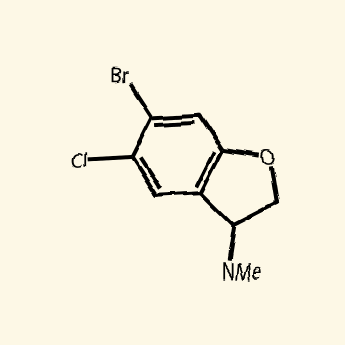 CNC1COc2cc(Br)c(Cl)cc21